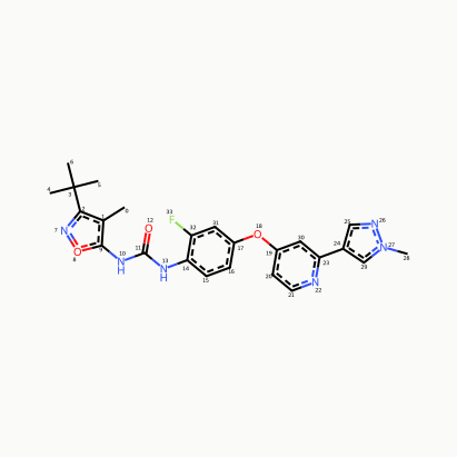 Cc1c(C(C)(C)C)noc1NC(=O)Nc1ccc(Oc2ccnc(-c3cnn(C)c3)c2)cc1F